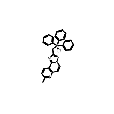 Cc1ccc2c(ccn3nc(CP(Cl)(c4ccccc4)(c4ccccc4)c4ccccc4)nc23)n1